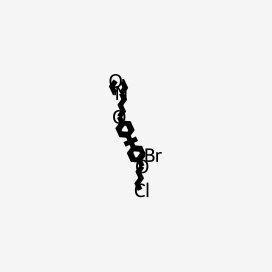 CC(C)(c1ccc(OCCCN2CCOCC2)cc1)c1ccc(OCCCCl)c(Br)c1